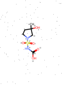 CC1(O)CCN(S(=O)(=O)NC(=O)O)C1